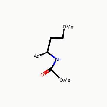 COCC[C@@H](NC(=O)OC)C(C)=O